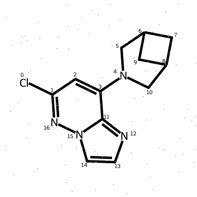 Clc1cc(N2CC3CC(C3)C2)c2nccn2n1